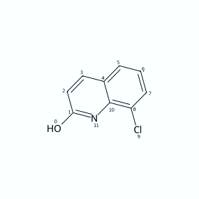 Oc1ccc2c[c]cc(Cl)c2n1